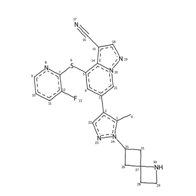 Cc1c(-c2cc(Sc3ncccc3F)c3c(C#N)cnn3c2)cnn1C1CC2(CCN2)C1